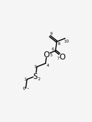 [CH2]CSCCOC(=O)C(=C)C